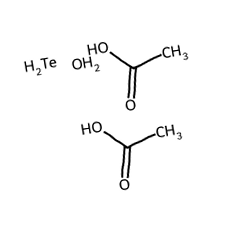 CC(=O)O.CC(=O)O.O.[TeH2]